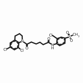 CS(=O)(=O)c1ccc(NC(=O)CCCCC(=O)N2CCCc3cc(Cl)cc(Cl)c32)c(Cl)c1